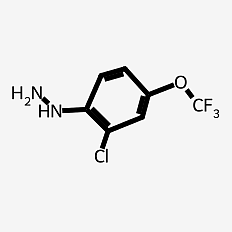 NNc1ccc(OC(F)(F)F)cc1Cl